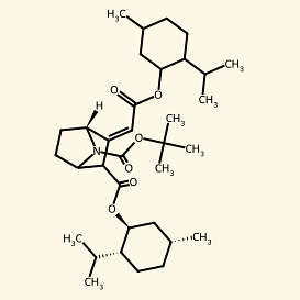 CC1CCC(C(C)C)C(OC(=O)/C=C2/C(C(=O)O[C@H]3C[C@H](C)CC[C@@H]3C(C)C)C3CC[C@H]2N3C(=O)OC(C)(C)C)C1